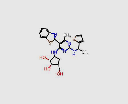 Cc1nc(N[C@@H](c2cccs2)C(F)(F)F)nc(NC2C[C@H](CO)[C@@H](O)[C@H]2O)c1-c1nc2ccccc2s1